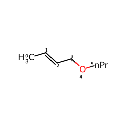 CC=C[CH]OCCC